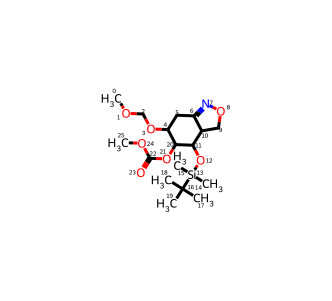 COCOC1CC2=NOCC2C(O[Si](C)(C)C(C)(C)C)C1OC(=O)OC